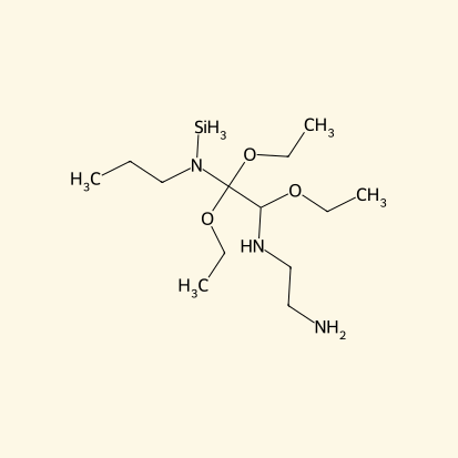 CCCN([SiH3])C(OCC)(OCC)C(NCCN)OCC